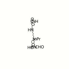 CCCN(CCCCCCNCCc1ccc2[nH]c(=O)sc2c1)C1CCc2cc(O)c(NC=O)cc2C1